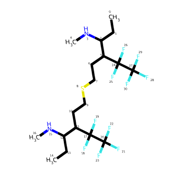 CCC(NC)C(CCSCCC(C(CC)NC)C(F)(F)C(F)(F)F)C(F)(F)C(F)(F)F